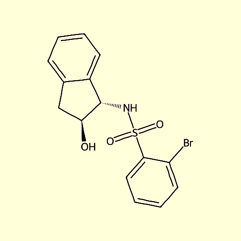 O=S(=O)(N[C@H]1c2ccccc2C[C@@H]1O)c1ccccc1Br